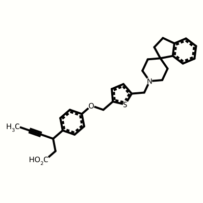 CC#CC(CC(=O)O)c1ccc(OCc2ccc(CN3CCC4(CCc5ccccc54)CC3)s2)cc1